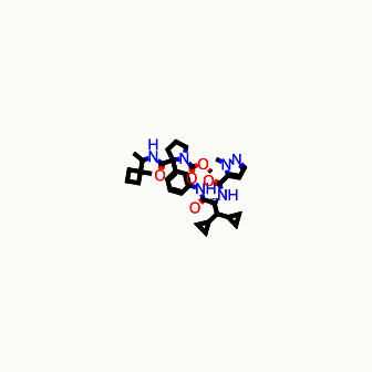 COC(=O)N1CCCC1(C(=O)NC(C)C1(C)CCC1)c1cccc(NC(=O)[C@@H](NC(=O)c2ccnn2C)C(C2CC2)C2CC2)c1